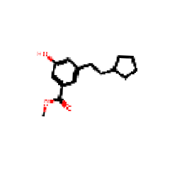 COC(=O)c1cc(O)cc(CCC2CCCC2)c1